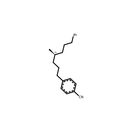 CC(C)CCC[C@H](C)CCCc1ccc(C#N)cc1